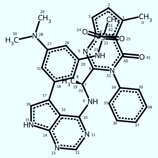 Cc1ccn2nc([C@H](C)Nc3ncnc4[nH]cc(-c5cc(NS(C)(=O)=O)cc(N(C)C)c5)c34)n(-c3ccccc3)c(=O)c12